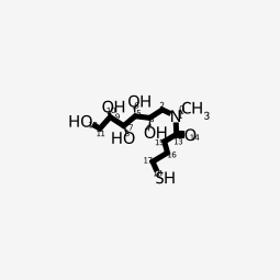 CN(C[C@H](O)[C@@H](O)[C@H](O)[C@H](O)CO)C(=O)CCCS